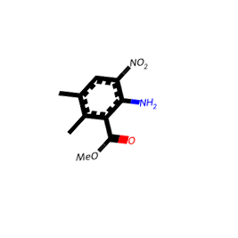 COC(=O)c1c(C)c(C)cc([N+](=O)[O-])c1N